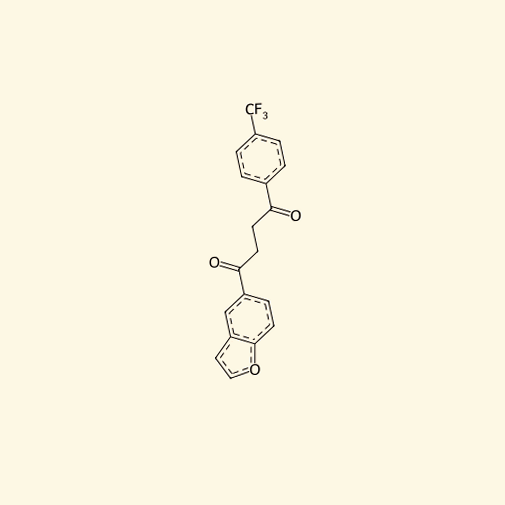 O=C(CCC(=O)c1ccc2occc2c1)c1ccc(C(F)(F)F)cc1